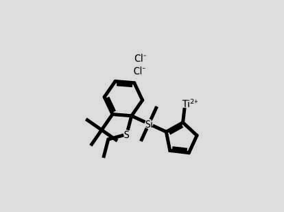 CCSC1([Si](C)(C)C2=[C]([Ti+2])CC=C2)CC=CC=C1C(C)(C)C.[Cl-].[Cl-]